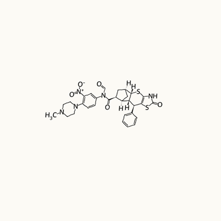 CN1CCN(c2ccc(N(C=O)C(=O)[C@H]3C[C@@H]4C[C@H]3[C@H]3[C@H](c5ccccc5)c5sc(=O)[nH]c5S[C@@H]43)cc2[N+](=O)[O-])CC1